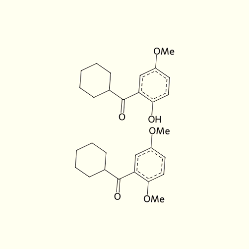 COc1ccc(O)c(C(=O)C2CCCCC2)c1.COc1ccc(OC)c(C(=O)C2CCCCC2)c1